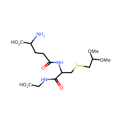 COC(CSCC(NC(=O)CCC(N)C(=O)O)C(=O)NCC(=O)O)OC